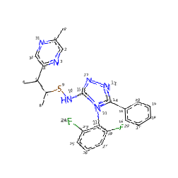 Cc1cnc(C(C)C(C)SNc2nnc(-c3ccccc3)n2-c2c(F)cccc2F)cn1